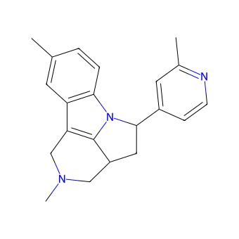 Cc1ccc2c(c1)c1c3n2C(c2ccnc(C)c2)CC3CN(C)C1